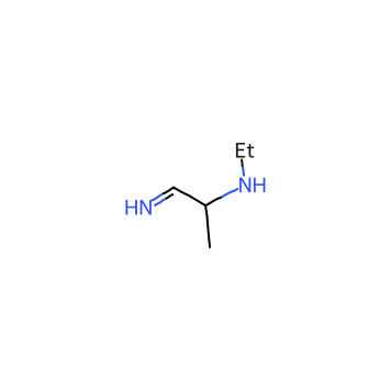 CCNC(C)C=N